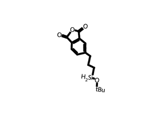 CC(C)(C)O[SiH2]CCCc1ccc2c(c1)C(=O)OC2=O